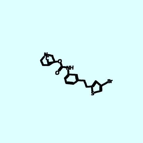 O=C(Nc1cccc(CCc2cc(Br)cs2)c1)OC1CN2CCC1CC2